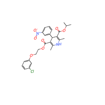 CC1=C(C(=O)OCCOc2cccc(Cl)c2)C(c2cccc([N+](=O)[O-])c2)C(C(=O)OC(C)C)=C(C)N1